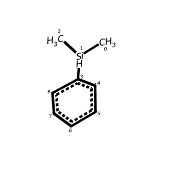 C[SiH](C)c1[c]cccc1